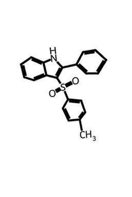 Cc1ccc(S(=O)(=O)c2c(-c3ccccc3)[nH]c3ccccc23)cc1